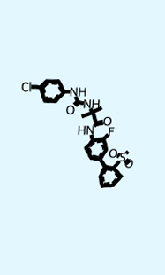 CC(C)(NC(=O)Nc1ccc(Cl)cc1)C(=O)Nc1ccc(-c2ccccc2S(C)(=O)=O)cc1F